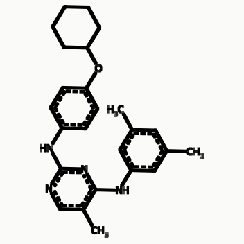 Cc1cc(C)cc(Nc2nc(Nc3ccc(OC4CCCCC4)cc3)ncc2C)c1